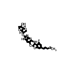 COC/C=C/c1cc(F)c2c(c1)OCC2Nc1nc2nc(O[C@@H]3CO[C@H]4[C@@H]3OC[C@H]4O)[nH]c2cc1Cl